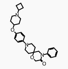 O=C1COC2(CCN(c3ccc(OC4CCN(C5CCC5)CC4)cc3)CC2)CN1c1ccccc1